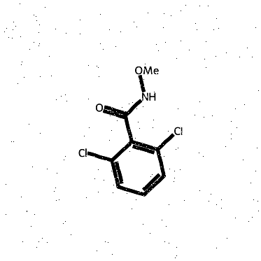 CONC(=O)c1c(Cl)cccc1Cl